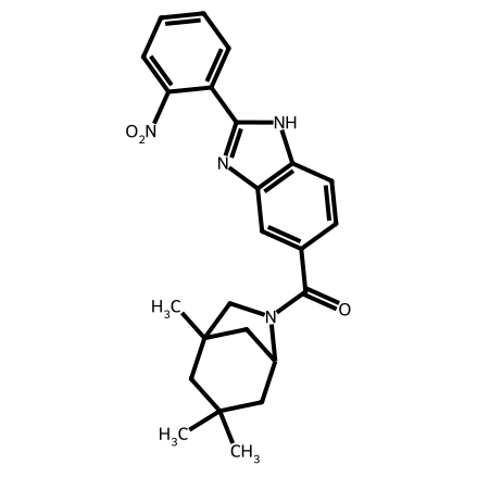 CC1(C)CC2CC(C)(CN2C(=O)c2ccc3[nH]c(-c4ccccc4[N+](=O)[O-])nc3c2)C1